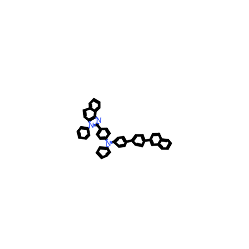 c1ccc(N(c2ccc(-c3ccc(-c4ccc5ccccc5c4)cc3)cc2)c2ccc(-c3nc4c5ccccc5ccc4n3-c3ccccc3)cc2)cc1